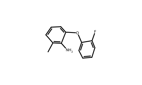 Cc1cccc(Oc2ccccc2F)c1N